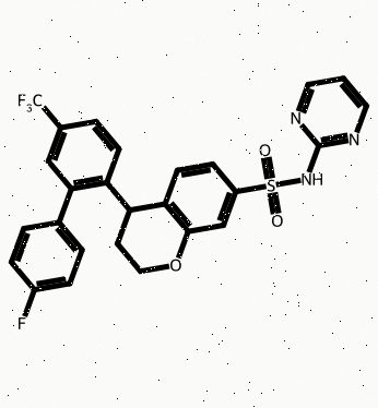 O=S(=O)(Nc1ncccn1)c1ccc2c(c1)OCCC2c1ccc(C(F)(F)F)cc1-c1ccc(F)cc1